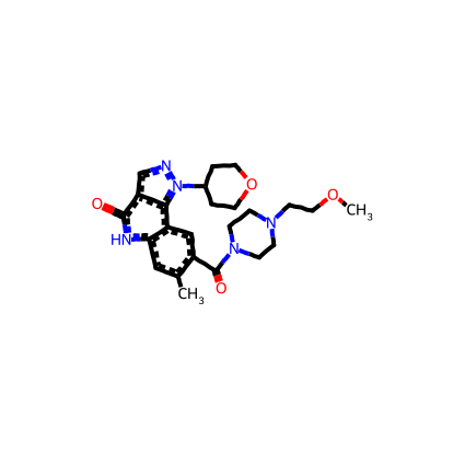 COCCN1CCN(C(=O)c2cc3c(cc2C)[nH]c(=O)c2cnn(C4CCOCC4)c23)CC1